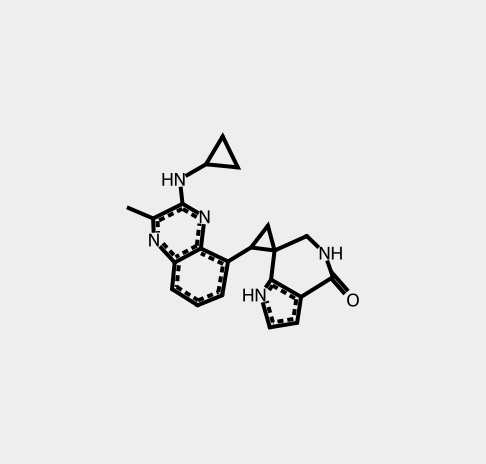 Cc1nc2cccc(C3CC34CNC(=O)c3cc[nH]c34)c2nc1NC1CC1